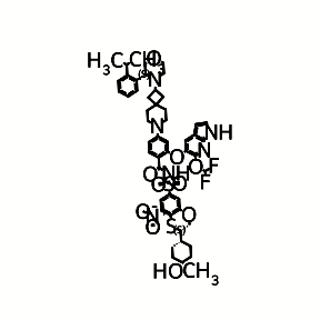 CC(C)c1ccccc1[C@H]1COCCN1C1CC2(CCN(c3ccc(C(=O)NS(=O)(=O)c4cc5c(c([N+](=O)[O-])c4)S[C@@H]([C@H]4CC[C@](C)(O)CC4)CO5)c(Oc4cc5cc[nH]c5nc4OC(F)F)c3)CC2)C1